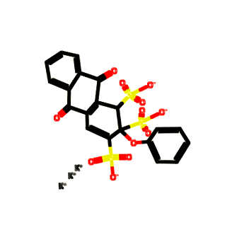 O=C1C2=C(C(=O)c3ccccc31)C(S(=O)(=O)[O-])C(Oc1ccccc1)(S(=O)(=O)[O-])C(S(=O)(=O)[O-])=C2.[K+].[K+].[K+]